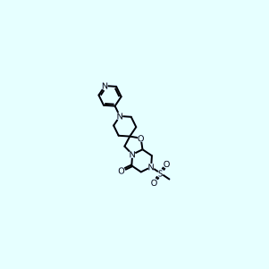 CS(=O)(=O)N1CC(=O)N2CC3(CCN(c4ccncc4)CC3)OC2C1